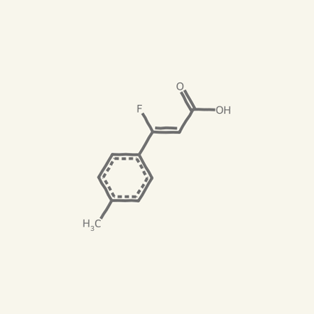 Cc1ccc(C(F)=CC(=O)O)cc1